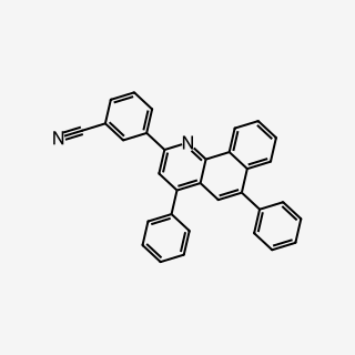 N#Cc1cccc(-c2cc(-c3ccccc3)c3cc(-c4ccccc4)c4ccccc4c3n2)c1